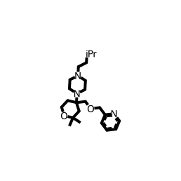 CC(C)CCN1CCN(C2(COCc3ccccn3)CCOC(C)(C)C2)CC1